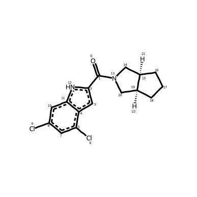 O=C(c1cc2c(Cl)cc(Cl)cc2[nH]1)N1C[C@H]2CCC[C@H]2C1